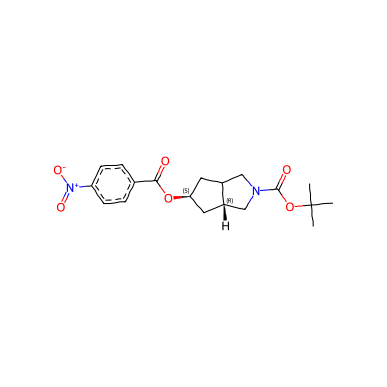 CC(C)(C)OC(=O)N1CC2C[C@H](OC(=O)c3ccc([N+](=O)[O-])cc3)C[C@H]2C1